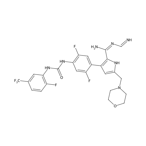 N=C/N=C(/N)c1[nH]c(CN2CCOCC2)cc1-c1cc(F)c(NC(=O)Nc2cc(C(F)(F)F)ccc2F)cc1F